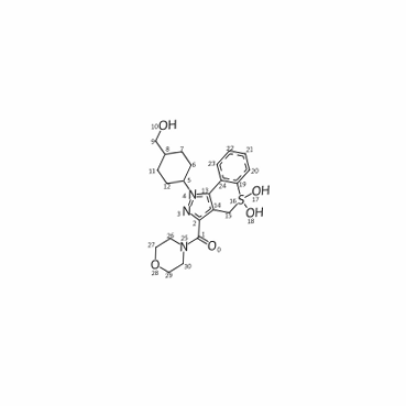 O=C(c1nn(C2CCC(CO)CC2)c2c1CS(O)(O)c1ccccc1-2)N1CCOCC1